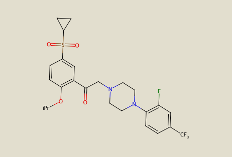 CC(C)Oc1ccc(S(=O)(=O)C2CC2)cc1C(=O)CN1CCN(c2ccc(C(F)(F)F)cc2F)CC1